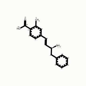 Cc1cc(C=C[C@@H](N)Cc2ccccc2)ccc1C(=O)O